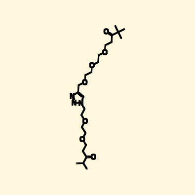 CC(C)C(=O)CCOCCOCCn1cc(COCCOCCOCCC(=O)C(C)(C)C)nn1